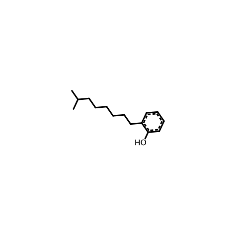 CC(C)CCCCCCc1ccccc1O